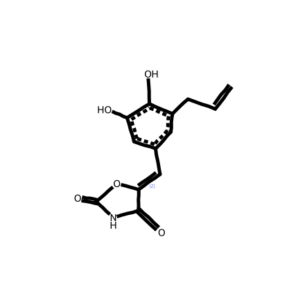 C=CCc1cc(/C=C2\OC(=O)NC2=O)cc(O)c1O